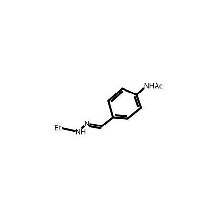 CCNN=Cc1ccc(NC(C)=O)cc1